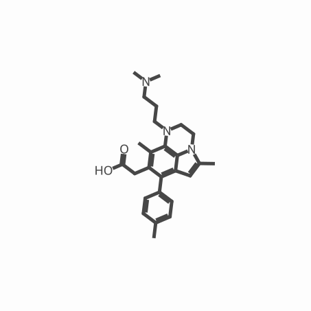 Cc1ccc(-c2c(CC(=O)O)c(C)c3c4c2cc(C)n4CCN3CCCN(C)C)cc1